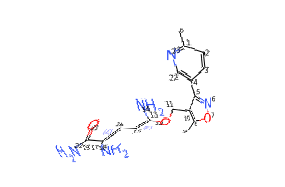 Cc1ccc(-c2noc(C)c2CO/C(N)=C/C=C(\N)C(N)=O)cn1